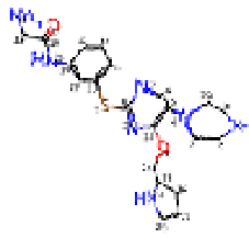 CN1CCN(c2cnc(Sc3cccc(NC(=O)CN)c3)nc2OCC2CCCN2)CC1